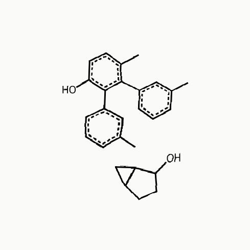 Cc1cccc(-c2c(C)ccc(O)c2-c2cccc(C)c2)c1.OC1CCC2CC12